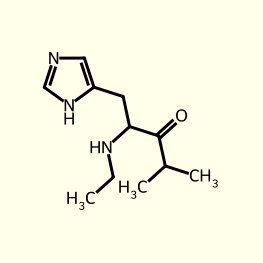 CCNC(Cc1cnc[nH]1)C(=O)C(C)C